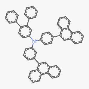 c1ccc(-c2ccc(N(c3ccc(-c4cc5ccccc5c5ccccc45)cc3)c3cccc(-c4cc5ccccc5c5ccccc45)c3)cc2-c2ccccc2)cc1